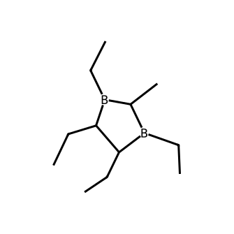 CCB1C(C)B(CC)C(CC)C1CC